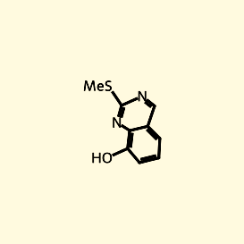 CSc1ncc2cccc(O)c2n1